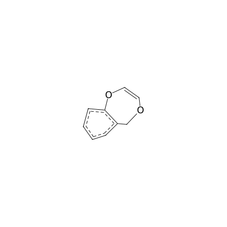 C1=COc2ccccc2CO1